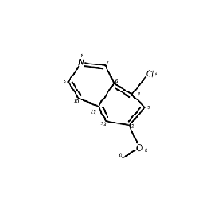 COc1cc(Cl)c2cnccc2c1